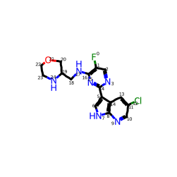 Fc1cnc(-c2c[nH]c3ncc(Cl)cc23)nc1NCC1COCCN1